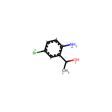 CC(O)c1cc(Br)ccc1N